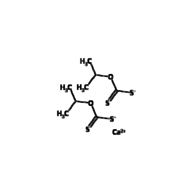 CC(C)OC(=S)[S-].CC(C)OC(=S)[S-].[Ca+2]